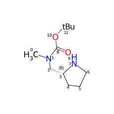 CN(C[C@H]1CCCN1)C(=O)OC(C)(C)C